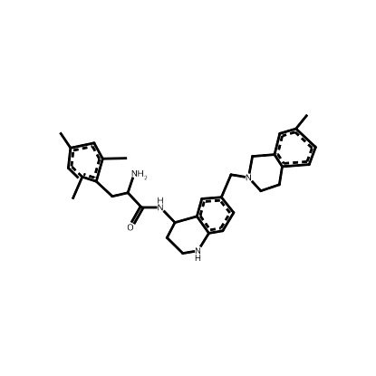 Cc1cc(C)c(CC(N)C(=O)NC2CCNc3ccc(CN4CCc5ccc(C)cc5C4)cc32)c(C)c1